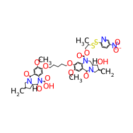 C=C1C[C@H]2C(=O)N(C(=O)O)c3cc(OCCCCCOc4cc5c(cc4OC)C(=O)N4CC(=C)[C@@H](O)[C@@H]4CN5C(=O)OC[C@@H](C)SSc4ccc([N+](=O)[O-])cn4)c(OC)cc3C(=O)N2C1